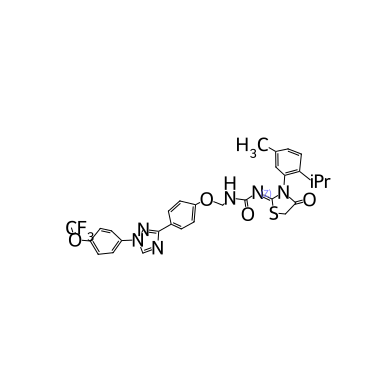 Cc1ccc(C(C)C)c(N2C(=O)CS/C2=N\C(=O)NCOc2ccc(-c3ncn(-c4ccc(OC(F)(F)F)cc4)n3)cc2)c1